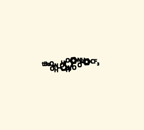 CN1C(=O)c2cc(NC(=O)c3ccc(C(F)(F)F)cc3)ccc2OC[C@@H]2O[C@H](CNC(=O)OC(C)(C)C)CC[C@@H]21